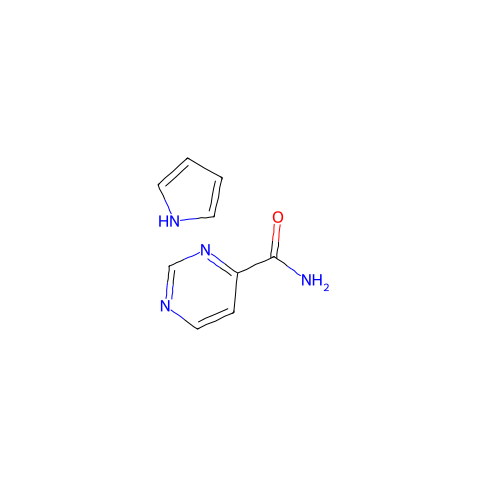 NC(=O)c1ccncn1.c1cc[nH]c1